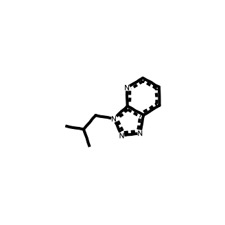 CC(C)Cn1nnc2cccnc21